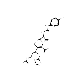 NC(=O)NCCC(Sc1nnn[nH]1)C1=C(C(=O)O)N2C(=O)C(NC(=O)C(O)c3ccc(O)cc3)[C@@H]2SC1